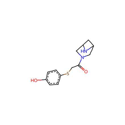 O=C(CSc1ccc(O)cc1)N1CC2CC(C1)N2